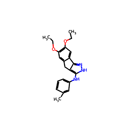 CCOc1cc2c(cc1OCC)-c1n[nH]c(Nc3cccc(C)c3)c1C2